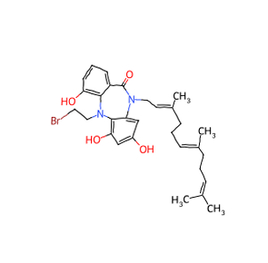 CC(C)=CCC/C(C)=C/CC/C(C)=C/CN1C(=O)c2cccc(O)c2N(CCBr)c2c(O)cc(O)cc21